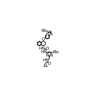 CN(C)CC(=O)NCc1nc(NC(=O)NC2CCC(Oc3ccc4nnc(C(C)(C)C)n4c3)c3ccccc32)cc(C(C)(C)C)n1